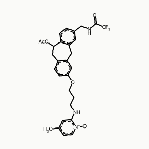 CC(=O)OC1Cc2ccc(OCCCNc3cc(C)cc[n+]3[O-])cc2Cc2cc(CNC(=O)C(F)(F)F)ccc21